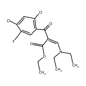 CCOC(=O)C(=CN(CC)CC)C(=O)c1cc(F)c(Cl)cc1Cl